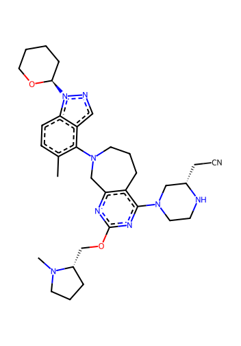 Cc1ccc2c(cnn2[C@@H]2CCCCO2)c1N1CCCc2c(nc(OC[C@@H]3CCCN3C)nc2N2CCN[C@@H](CC#N)C2)C1